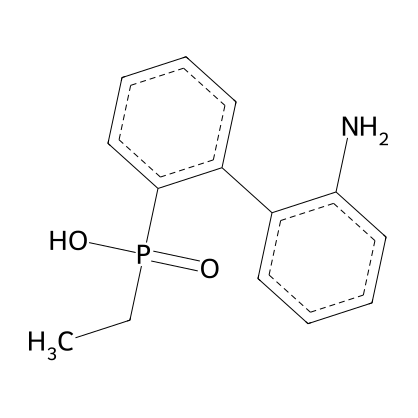 CCP(=O)(O)c1ccccc1-c1ccccc1N